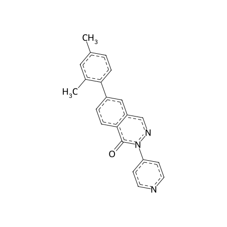 Cc1ccc(-c2ccc3c(=O)n(-c4ccncc4)ncc3c2)c(C)c1